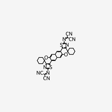 N#CC(C#N)=Nc1nc2c(s1)C1=CC3C=C4OC5(CCCCC5)c5nc(N=C(C#N)C#N)sc5C4=CC3C=C1OC21CCCCC1